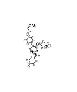 COCCOc1ccc(-c2cnc(NC3CCC(C)CC3)nc2OC2CCOC2)cc1.Cl